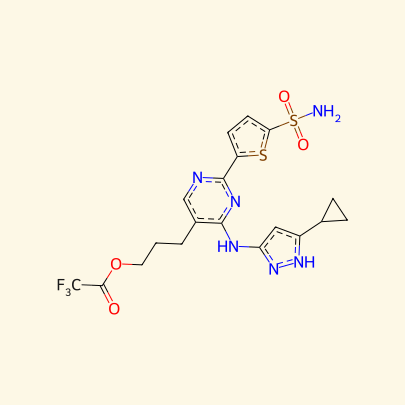 NS(=O)(=O)c1ccc(-c2ncc(CCCOC(=O)C(F)(F)F)c(Nc3cc(C4CC4)[nH]n3)n2)s1